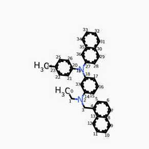 CCN(Cc1cccc2ccccc12)c1cccc(N(c2ccc(C)cc2)c2ccc3ccccc3c2)c1